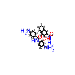 NC(=O)c1cc2ccccc2cc1O.Nc1ccc(NC(=O)c2ccc(N)cc2)cc1